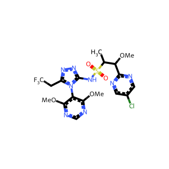 COc1ncnc(OC)c1-n1c(CC(F)(F)F)nnc1NS(=O)(=O)C(C)C(OC)c1ncc(Cl)cn1